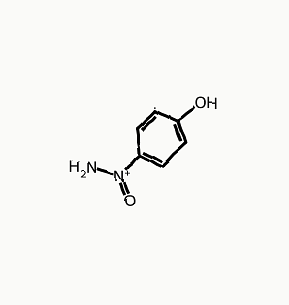 N[N+](=O)c1c[c]c(O)cc1